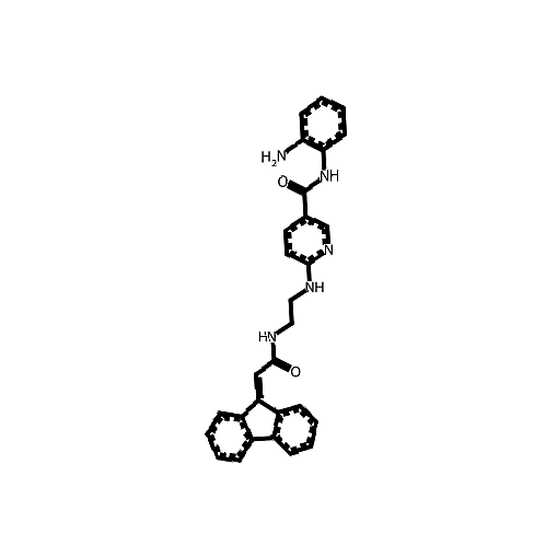 Nc1ccccc1NC(=O)c1ccc(NCCNC(=O)C=C2c3ccccc3-c3ccccc32)nc1